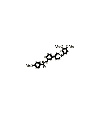 COc1ccc(CN2CC=C(c3cccc(CNC(=O)c4ccc(SC)cc4)c3)CC2)cc1OC